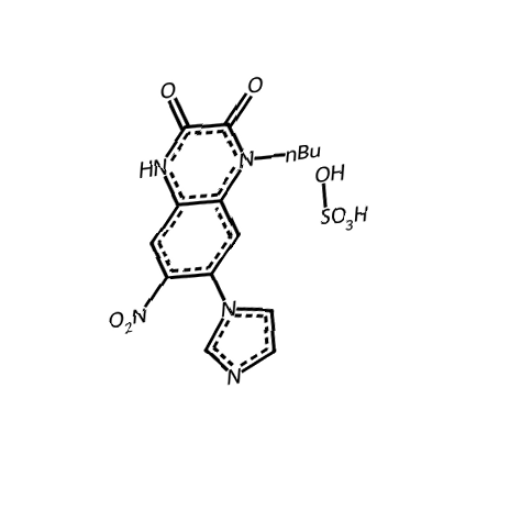 CCCCn1c(=O)c(=O)[nH]c2cc([N+](=O)[O-])c(-n3ccnc3)cc21.O=S(=O)(O)O